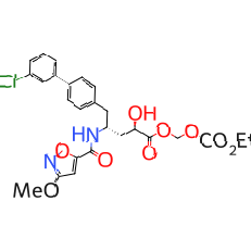 CCOC(=O)OCOC(=O)[C@H](O)C[C@@H](Cc1ccc(-c2cccc(Cl)c2)cc1)NC(=O)c1cc(OC)no1